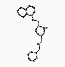 Br.c1ccc(CNCc2ccc(CNc3cccc4ccccc34)cc2)nc1